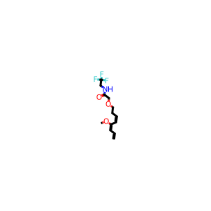 C=C/C=C(\C=C/CCOCC(=O)NCC(F)(F)F)OC